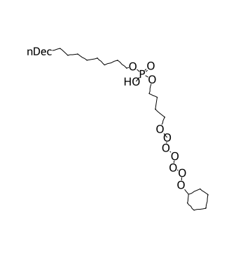 CCCCCCCCCCCCCCCCCCOP(=O)(O)OCCCCOOOOOOOC1CCCCC1